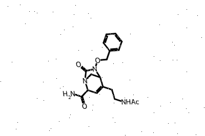 CC(=O)NCCC1=CC(C(N)=O)N2CC1N(OCc1ccccc1)C2=O